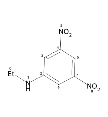 CCNc1[c]c([N+](=O)[O-])cc([N+](=O)[O-])c1